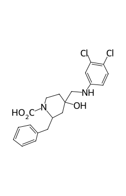 O=C(O)N1CCC(O)(CNc2ccc(Cl)c(Cl)c2)CC1Cc1ccccc1